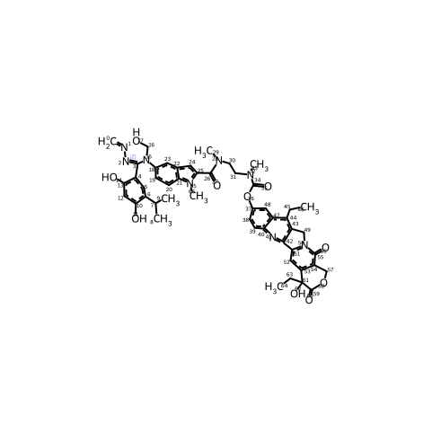 C=N/N=C(/c1cc(C(C)C)c(O)cc1O)N(CO)c1ccc2c(c1)cc(C(=O)N(C)CCN(C)C(=O)Oc1ccc3nc4c(c(CC)c3c1)Cn1c-4cc3c(c1=O)COC(=O)C3(O)CC)n2C